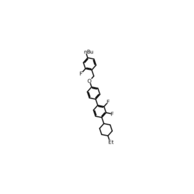 CCCCc1ccc(COc2ccc(-c3ccc(C4CCC(CC)CC4)c(F)c3F)cc2)c(F)c1